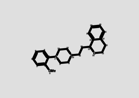 COc1ccccc1N1CCN(CCC2OCCc3ccccc32)CC1